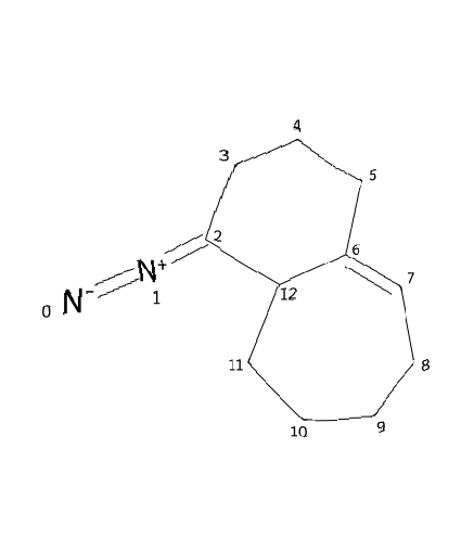 [N-]=[N+]=C1CCCC2=CCCCCC21